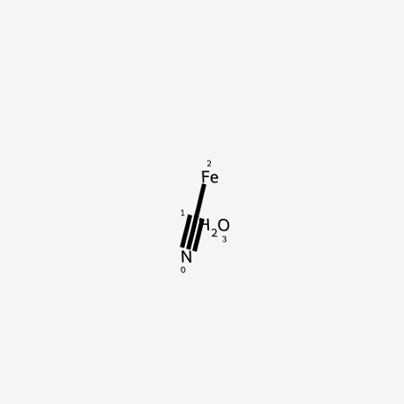 N#[C][Fe].O